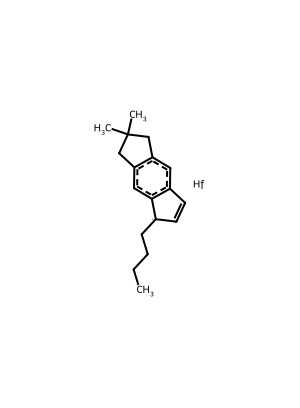 CCCC[C]1C=Cc2cc3c(cc21)CC(C)(C)C3.[Hf]